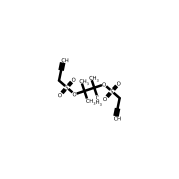 C#CCS(=O)(=O)OC(C)(C)C(C)(C)OS(=O)(=O)CC#C